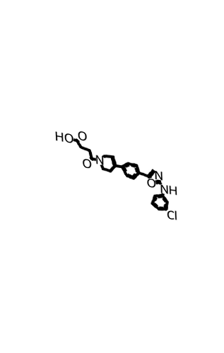 O=C(O)CCC(=O)N1CC=C(c2ccc(-c3cnc(Nc4cccc(Cl)c4)o3)cc2)CC1